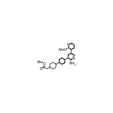 COc1ncccc1-c1cc(-c2ccc(N3CCN(CC(=O)OC(C)(C)C)CC3)cc2)c(N)nn1